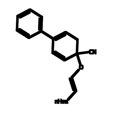 CCCCCCC=COC1(C#N)C=CC(c2ccccc2)=CC1